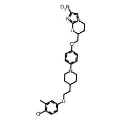 Cc1cc(OCCC2CCN(c3ccc(OCC4CCn5cc([N+](=O)[O-])nc5O4)cc3)CC2)ccc1Cl